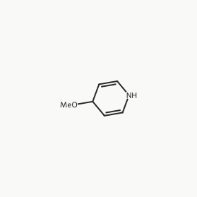 COC1C=CNC=C1